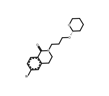 O=C1c2ccc(Br)cc2CCN1CCCO[C@H]1CCCCO1